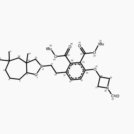 CC1(C)CCCC2OB(CCc3ccc(OC4CN(C=O)C4)c(C(=O)OC(C)(C)C)c3C(=O)OC(C)(C)C)CC2(C)C1